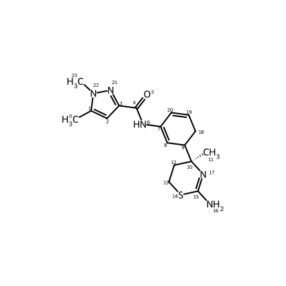 Cc1cc(C(=O)NC2=CC([C@]3(C)CCSC(N)=N3)CC=C2)nn1C